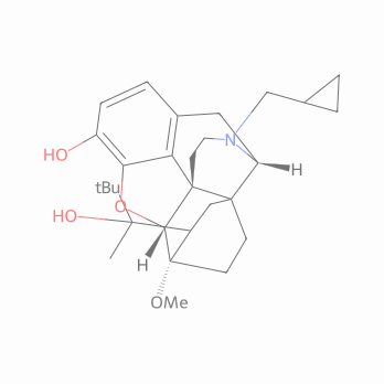 CO[C@@]12CCC3(CC1C(C)(O)C(C)(C)C)[C@H]1Cc4ccc(O)c5c4[C@@]3(CCN1CC1CC1)[C@H]2O5